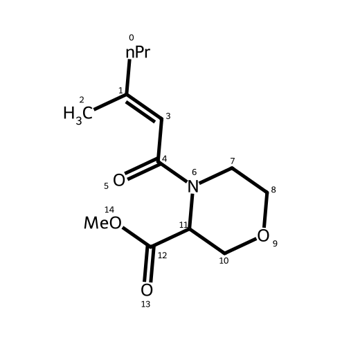 CCC/C(C)=C/C(=O)N1CCOCC1C(=O)OC